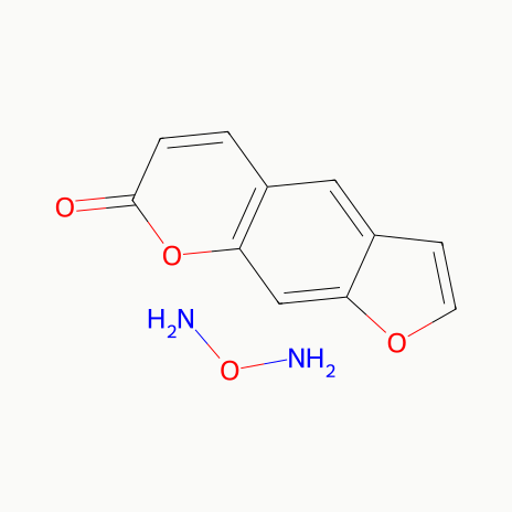 NON.O=c1ccc2cc3ccoc3cc2o1